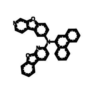 c1ccc2c(c1)cc(N(c1ccc3oc4cnccc4c3c1)c1ccc3c(n1)oc1ccccc13)c1ccccc12